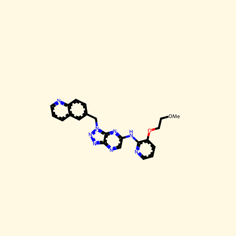 COCCOc1cccnc1Nc1cnc2nnn(Cc3ccc4ncccc4c3)c2n1